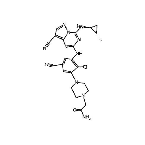 C[C@H]1C[C@@H]1Nc1nc(Nc2cc(C#N)cc(N3CCN(CC(N)=O)CC3)c2Cl)nc2c(C#N)cnn12